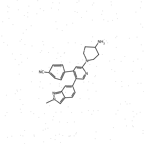 Cn1cc2ccc(-c3cnc(N4CCC(N)CC4)cc3-c3ccc(C#N)cc3)cc2n1